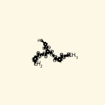 C#Cc1ccc2c(c1)C(=O)N(c1cc(C(=O)OCCOC(=O)c3cccc(C)c3)cc(C(=O)OCCOC(=O)c3cccc(C(=O)OCCOC)c3)c1)C2=O